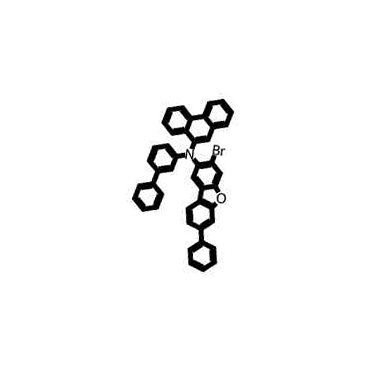 Brc1cc2oc3cc(-c4ccccc4)ccc3c2cc1N(c1cccc(-c2ccccc2)c1)c1cc2ccccc2c2ccccc12